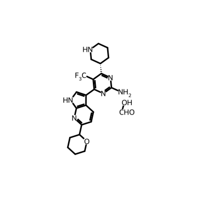 Nc1nc(-c2c[nH]c3nc(C4CCCCO4)ccc23)c(C(F)(F)F)c([C@H]2CCCNC2)n1.O=CO